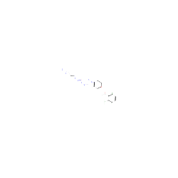 CC(Oc1ccc2nc(NC(=O)NCCCN(C)C)sc2c1)c1c(Cl)ccc(F)c1Cl